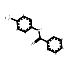 Cc1ccc(OC(=O)c2ccccc2)cc1